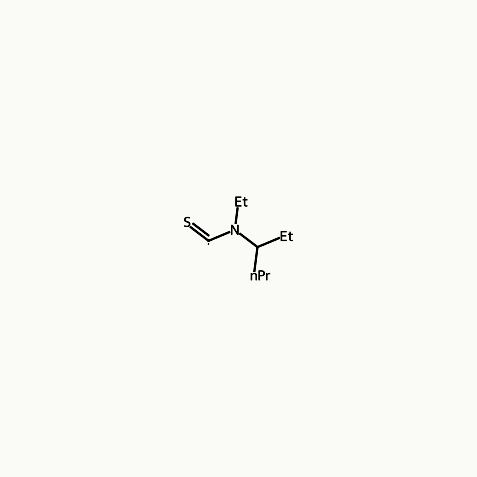 CCCC(CC)N([C]=S)CC